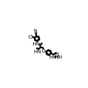 CC(=N)/C(COc1ccc(C2=CSNN2)cc1)=C(/C)Nc1ccc(C#N)c(Cl)c1